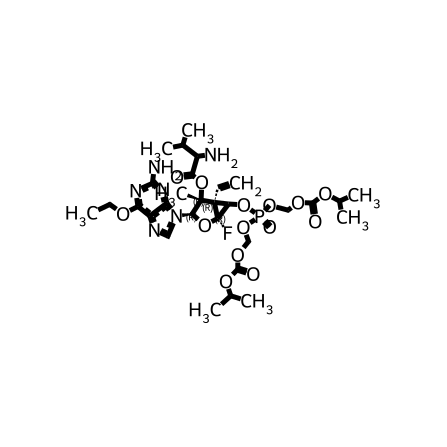 C=C[C@]12C(OP(=O)(OCOC(=O)OC(C)C)OCOC(=O)OC(C)C)[C@@]1(F)O[C@@H](n1cnc3c(OCC)nc(N)nc31)[C@]2(C)OC(=O)C(N)C(C)C